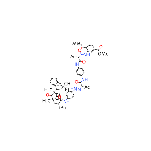 CCC(C)(CC)CC(c1ccccc1)C(C)(CC)C(=O)C(C)(C)CC(C(=O)Nc1ccc(N/N=C(/C(C)=O)C(=O)Nc2ccc(NC(=O)/C(=N\Nc3cc(C(=O)OC)ccc3C(=O)OC)C(C)=O)cc2)cc1)C(C)(C)C